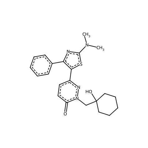 CN(C)c1nc(-c2ccccc2)c(-c2ccc(=O)n(CC3(O)CCCCC3)n2)s1